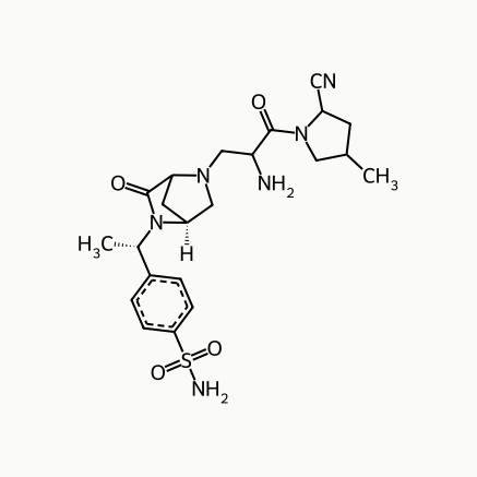 CC1CC(C#N)N(C(=O)C(N)CN2C[C@@H]3CC2C(=O)N3[C@@H](C)c2ccc(S(N)(=O)=O)cc2)C1